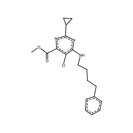 COC(=O)c1nc(C2CC2)nc(NCCCCc2ccccc2)c1Cl